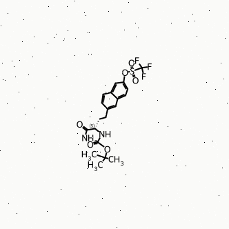 CC(C)(C)OC(=O)N[C@@H](CCc1ccc2cc(OS(=O)(=O)C(F)(F)F)ccc2c1)C(N)=O